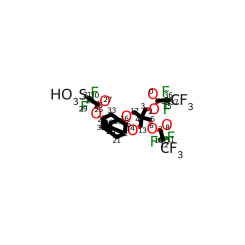 O=C(OCC1(COC(=O)C(F)(F)C(F)(F)F)COC2(OC1)C1CC3CC2CC(OC(=O)C(F)(F)S(=O)(=O)O)(C3)C1)C(F)(F)C(F)(F)F